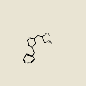 CCC(C)CC1CN(Cc2ccccc2)CCO1